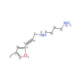 Cc1coc(C#CCNCCCCN)c1